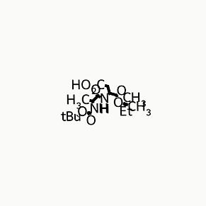 CCC(C)(C)OC(=O)C(CC(=O)O)NC(=O)C(C)NC(=O)OC(C)(C)C